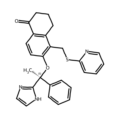 C[C@](Oc1ccc2c(c1CSc1ccccn1)CCCC2=O)(c1ccccc1)c1ncc[nH]1